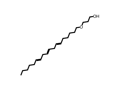 CCCCCC=CCC=CCC=CCCCCCOCCCO